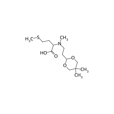 CSCCC(C(=O)O)N(C)CCC1OCC(C)(C)CO1